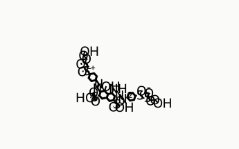 Nc1c(N=Nc2ccc([S+]([O-])CS(=O)OOO)cc2)c(S(=O)(=O)O)cc2cc(S(=O)(=O)O)c(N=Nc3ccc([S+]([O-])CS(=O)OOO)cc3)c(O)c12